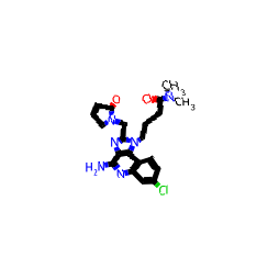 CN(C)C(=O)CCCn1c(CN2CCCC2=O)nc2c(N)nc3cc(Cl)ccc3c21